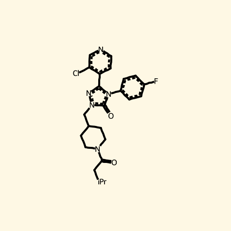 CC(C)CC(=O)N1CCC(Cn2nc(-c3ccncc3Cl)n(-c3ccc(F)cc3)c2=O)CC1